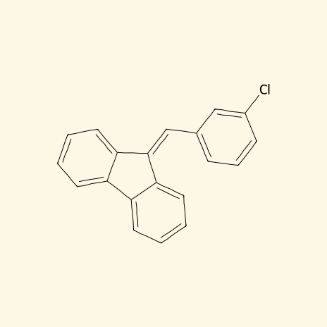 Clc1cccc(C=C2c3ccccc3-c3ccccc32)c1